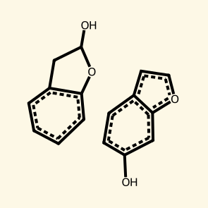 OC1Cc2ccccc2O1.Oc1ccc2ccoc2c1